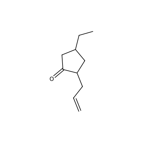 C=CCC1CC(CC)CC1=O